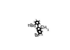 CCCCc1ccccc1C1=Cc2cc(Br)ccc2C1C